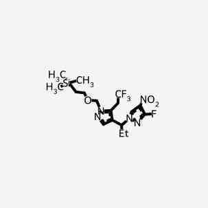 CCC(c1cnn(COCC[Si](C)(C)C)c1CC(F)(F)F)n1cc([N+](=O)[O-])c(F)n1